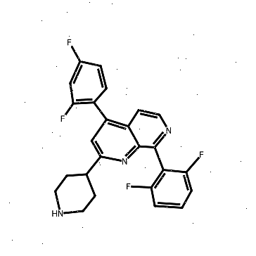 Fc1ccc(-c2cc(C3CCNCC3)nc3c(-c4c(F)cccc4F)nccc23)c(F)c1